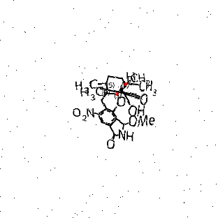 COC1NC(=O)c2cc([N+](=O)[O-])c3c(c21)O[C@@]12CC(O)C(=O)C(C)(C)[C@@H]1CC[C@H](C)[C@@]2(C)C3